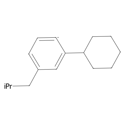 CC(C)Cc1cc[c]c(C2CCCCC2)c1